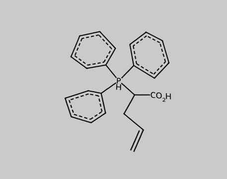 C=CCC(C(=O)O)[PH](c1ccccc1)(c1ccccc1)c1ccccc1